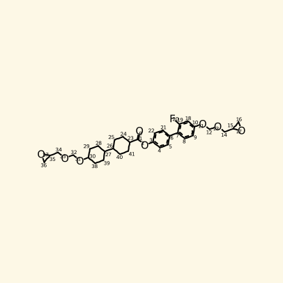 O=C(Oc1ccc(-c2ccc(OCOCC3CO3)cc2F)cc1)C1CCC(C2CCC(OCOCC3CO3)CC2)CC1